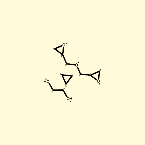 C(OCC1CO1)C1CO1.C1CC1.OCCO